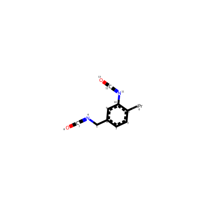 CC(C)c1ccc(CN=C=O)cc1N=C=O